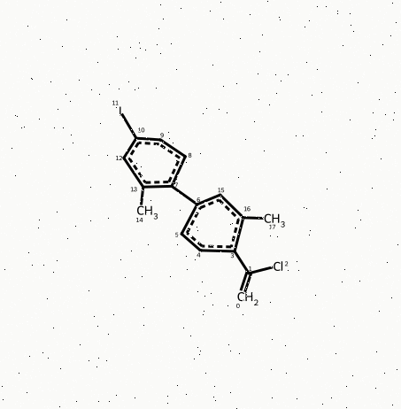 C=C(Cl)c1ccc(-c2ccc(I)cc2C)cc1C